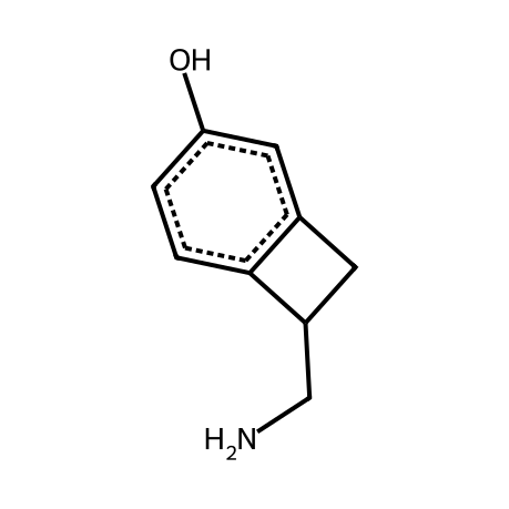 NCC1Cc2cc(O)ccc21